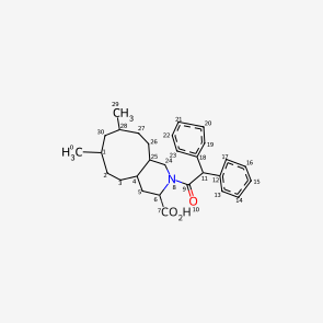 CC1CCC2CC(C(=O)O)N(C(=O)C(c3ccccc3)c3ccccc3)CC2CCC(C)C1